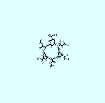 CCCC(=O)N1Cc2cc(cc(C(=O)O)c2)CN(C(=O)CC(C)C)Cc2cc(cc(C(=O)O)c2)CN(C(=O)CC(C)C)Cc2cc(cc(C(=O)O)c2)C1